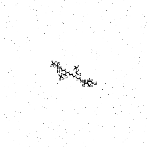 CC(C)(C)OCC(=O)N(CCCCN(CCCNC(=O)OC(C)(C)C)C(=O)OC(C)(C)C)CCCNC(=O)c1ccc(Cl)nc1